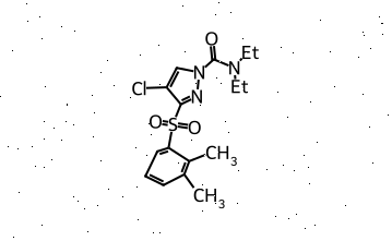 CCN(CC)C(=O)n1cc(Cl)c(S(=O)(=O)c2cccc(C)c2C)n1